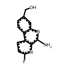 Nc1nc2cc(CO)ccc2c2ccc(F)nc12